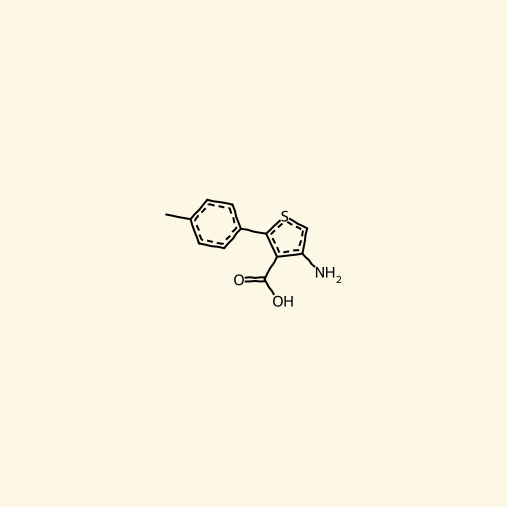 Cc1ccc(-c2scc(N)c2C(=O)O)cc1